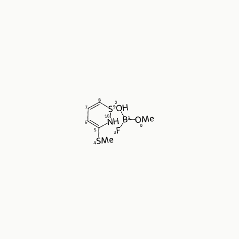 COB(O)F.CSC1=CC=CSN1